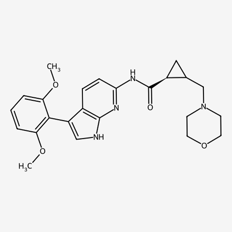 COc1cccc(OC)c1-c1c[nH]c2nc(NC(=O)[C@H]3CC3CN3CCOCC3)ccc12